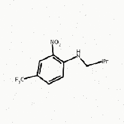 CC(C)CNc1ccc(C(F)(F)F)cc1[N+](=O)[O-]